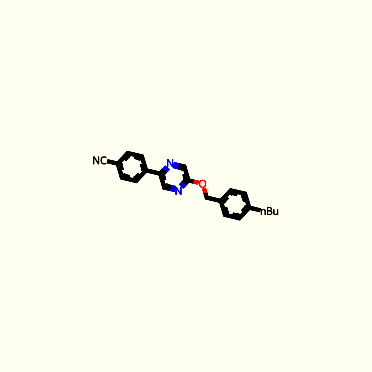 CCCCc1ccc(COc2cnc(-c3ccc(C#N)cc3)cn2)cc1